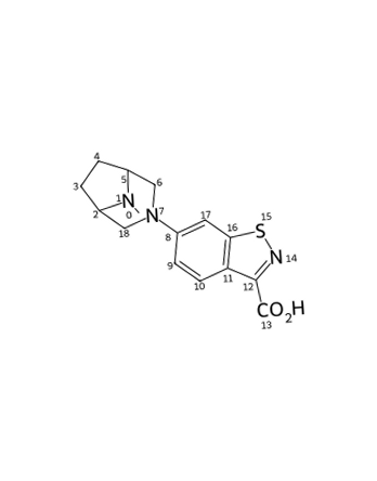 CN1C2CCC1CN(c1ccc3c(C(=O)O)nsc3c1)C2